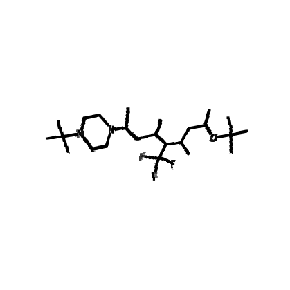 CC(CC(C)C(C(C)CC(C)N1CCN(C(C)(C)C)CC1)C(F)(F)F)OC(C)(C)C